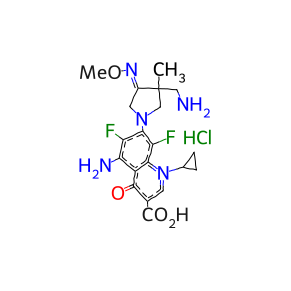 CO/N=C1\CN(c2c(F)c(N)c3c(=O)c(C(=O)O)cn(C4CC4)c3c2F)CC1(C)CN.Cl